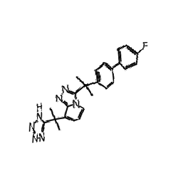 CC(C)(c1nnn[nH]1)c1cccn2c(C(C)(C)c3ccc(-c4ccc(F)cc4)cc3)nnc12